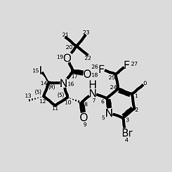 Cc1cc(Br)nc(NC(=O)[C@@H]2C[C@H](C)[C@@H](I)N2C(=O)OC(C)(C)C)c1C(F)F